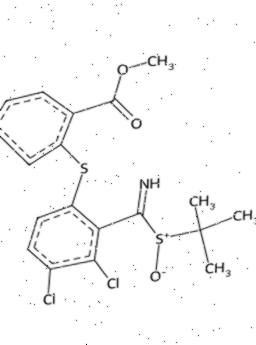 COC(=O)c1ccccc1Sc1ccc(Cl)c(Cl)c1C(=N)[S+]([O-])C(C)(C)C